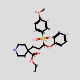 CCOC(=O)C1(CCC(Oc2ccccc2)S(=O)(=O)c2ccc(OC)cc2)CCNCC1